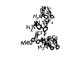 COc1ccc(OCC(F)(F)C(F)(F)F)c(-c2ccc3c(N)nn(C)c3c2)c1.Cn1nc(N)c2ccc(-c3cc(F)ccc3OCC(F)(F)C(F)(F)F)cc21.NC(=O)Cn1nc(N)c2ccc(-c3ccccc3OCC(F)(F)C(F)(F)F)cc21.NC(=O)Cn1nc(N)c2ccc(-c3ccccc3OCC(F)(F)F)cc21